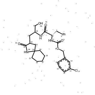 CC(C)C[C@H](NC(=O)OCc1cccc(Cl)c1)C(=O)NC(CO)CC1CC2(CCCCC2)NC1=O